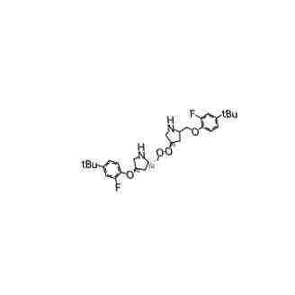 CC(C)(C)c1ccc(OCC2C[C@@H](OOC[C@@H]3C[C@@H](Oc4ccc(C(C)(C)C)cc4F)CN3)CN2)c(F)c1